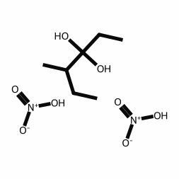 CCC(C)C(O)(O)CC.O=[N+]([O-])O.O=[N+]([O-])O